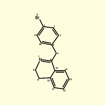 Brc1ccc(CC2=NCCc3ccccc32)cc1